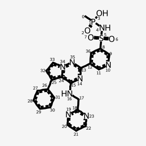 CP(=O)(O)NS(=O)(=O)c1cncc(-c2nc(NCc3ncccn3)c3c(-c4ccccc4)ccn3n2)c1